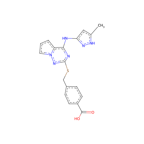 Cc1cc(Nc2nc(SCc3ccc(C(=O)O)cc3)nn3cccc23)n[nH]1